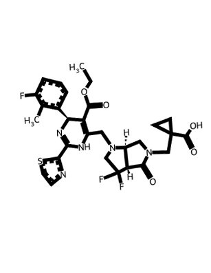 CCOC(=O)C1=C(CN2CC(F)(F)[C@@H]3C(=O)N(CC4(C(=O)O)CC4)C[C@@H]32)NC(c2nccs2)=N[C@H]1c1cccc(F)c1C